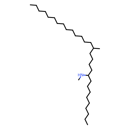 CCCCCCCCCCCCCCC(C)CCCCC(CCCCCCCCC)NC